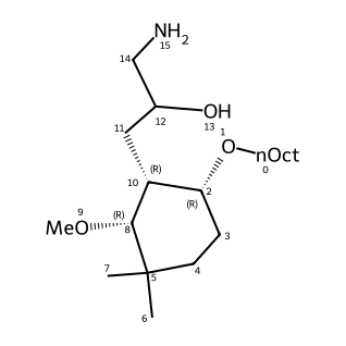 CCCCCCCCO[C@@H]1CCC(C)(C)[C@H](OC)[C@@H]1CC(O)CN